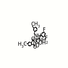 CCc1cccc(CNC[C@@H](C(C(=O)O)N2C(=O)c3ccc(C)cc3C2=O)[C@@H](N)Cc2cc(F)cc(F)c2)c1